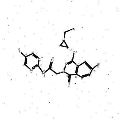 CC[C@@H]1C[C@H]1Oc1nn(CC(=O)Nc2ncc(F)cn2)c(=O)c2ccc(Br)cc12